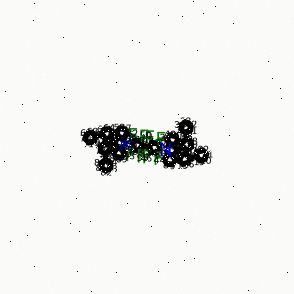 Fc1c(F)c(N2c3ccccc3C(c3cccc(-c4ccccc4)c3)(c3cccc(-c4ccccc4)c3)c3ccccc32)c(F)c(F)c1-c1c(F)c(F)c(N2c3ccccc3C(c3cccc(-c4ccccc4)c3)(c3cccc(-c4ccccc4)c3)c3ccccc32)c(F)c1F